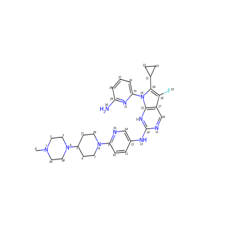 CN1CCN(C2CCN(c3ccc(Nc4ncc5c(F)c(C6CC6)n(-c6cccc(N)n6)c5n4)cn3)CC2)CC1